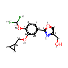 OCc1coc(-c2ccc(OC(F)F)c(OCC3CC3)c2)n1